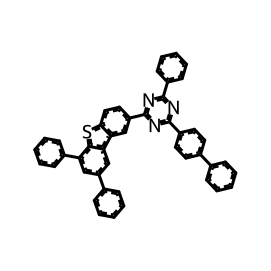 c1ccc(-c2ccc(-c3nc(-c4ccccc4)nc(-c4ccc5sc6c(-c7ccccc7)cc(-c7ccccc7)cc6c5c4)n3)cc2)cc1